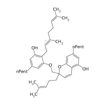 CCCCCc1cc(O)c2c(c1)OC(CCC=C(C)C)(COc1cc(CCCCC)cc(O)c1C/C=C(\C)CCC=C(C)C)C=C2